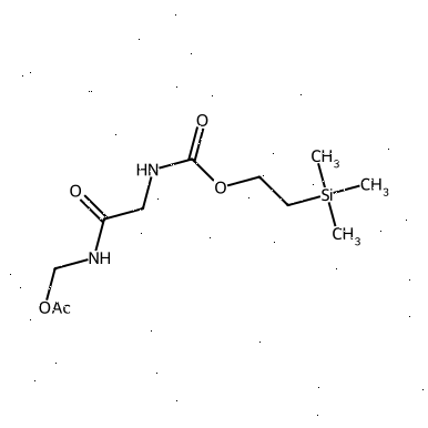 CC(=O)OCNC(=O)CNC(=O)OCC[Si](C)(C)C